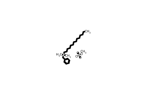 CCCCCCCCCCCCCC[N+](C)(C)Cc1ccccc1.COS(=O)(=O)[O-]